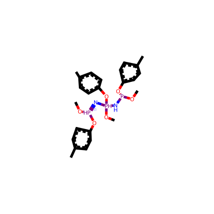 COP(N[PH](/N=[PH](/OC)Oc1ccc(C)cc1)(OC)Oc1ccc(C)cc1)Oc1ccc(C)cc1